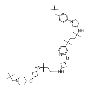 CC(C)(C)Cc1ccc(N2CC[C@H](NC(C)(C)CCC(C)(C)c3ccnc(O[C@H]4C[C@H](NC(C)(C)CCC(C)(C)N[C@H]5C[C@H](OC6CCN(CC(C)(C)C)CC6)C5)C4)c3)C2)cc1